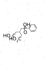 O=C(O)CC(CC(=O)O)CP(=O)(O)c1ccccc1